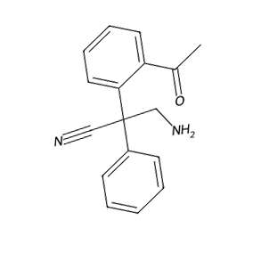 CC(=O)c1ccccc1C(C#N)(CN)c1ccccc1